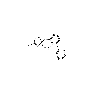 CC1=NC2(CO1)COc1c(cccc1-c1cnccn1)C2